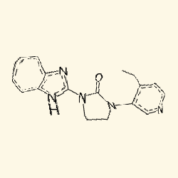 Cc1ccncc1N1CCN(c2nc3ccccc3[nH]2)C1=O